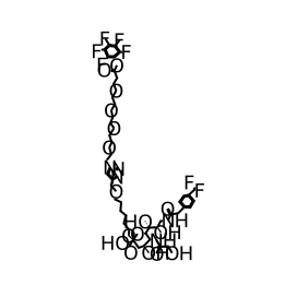 O=C(Cc1ccc(C(F)F)cc1)NC[C@@H](O)[C@@H](O)[C@@H]1O[C@@](OCCCCCCOCc2cn(CCOCCOCCOCCOCCC(=O)Oc3c(F)c(F)c(F)c(F)c3F)nn2)(C(=O)O)C[C@H](O)[C@H]1NC(=O)CO